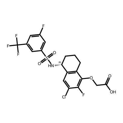 O=C(O)COc1c(F)c(Cl)cc2c1CCC[C@H]2NS(=O)(=O)c1cc(F)cc(C(F)(F)F)c1